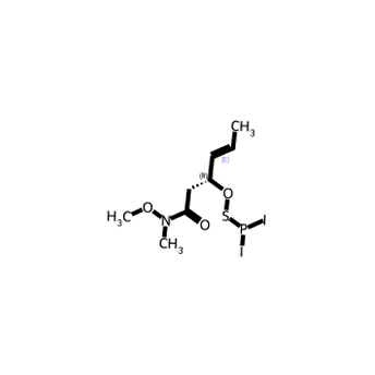 C/C=C/[C@@H](CC(=O)N(C)OC)OSP(I)I